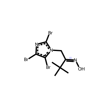 CC(C)(C)/C(Cn1c(Br)nc(Br)c1Br)=N\O